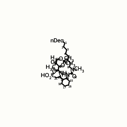 CCCCCCCCCCCCCCCCCCN(C)C(=O)NC1CCCCC1C(CC(=O)O)NC(=O)C1OC(C)(C)OCC1(C)C